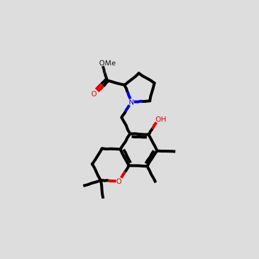 COC(=O)C1CCCN1Cc1c(O)c(C)c(C)c2c1CCC(C)(C)O2